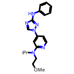 COCCN(c1cc(-n2cnc(Nc3ccccc3)n2)ccn1)C(C)C